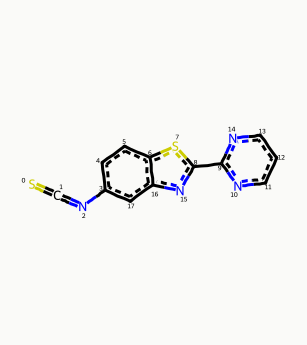 S=C=Nc1ccc2sc(-c3ncccn3)nc2c1